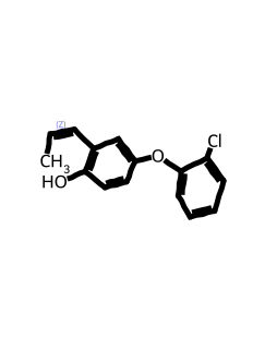 C/C=C\c1cc(Oc2ccccc2Cl)ccc1O